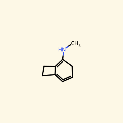 CNC1=C2CCC2=C=CC1